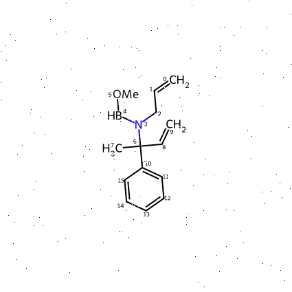 C=CCN(BOC)C(C)(C=C)c1ccccc1